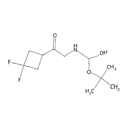 CC(C)(C)OC(O)NCC(=O)C1CC(F)(F)C1